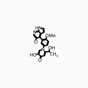 COc1ccc(-n2cc(O)c(=O)cc2C(C)O)cc1-c1c(Cl)cnc2[nH]ccc12